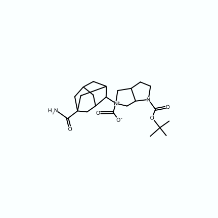 CC(C)(C)OC(=O)N1CCC2C[N+](C(=O)[O-])(C3C4CC5CC3CC(C(N)=O)(C5)C4)CC21